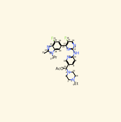 CCN1CCN([C@@H](OC(C)=O)c2ccc(Nc3ncc(F)c(-c4cc(F)c5nc(C)n(C(C)C)c5c4)n3)nc2)CC1